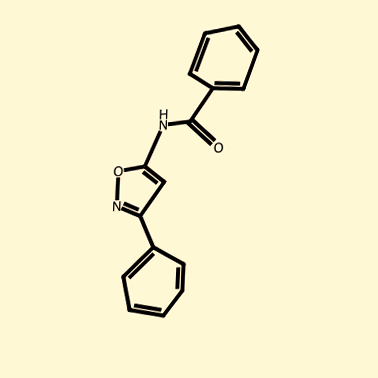 O=C(Nc1cc(-c2ccccc2)no1)c1ccccc1